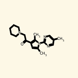 Cc1cnc(-n2c(C)cc(C(=O)CN3CCCCC3)c2C)nc1